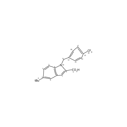 CC(C)(C)c1ccc2c(c1)cc(C(=O)O)n2Cc1ccc(C(F)(F)F)cc1